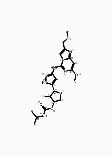 COCc1cn2c(Nc3cc([C@H]4OC[C@@H](OC(=O)NC(C)C)[C@H]4F)[nH]n3)nc(OC)cc2n1